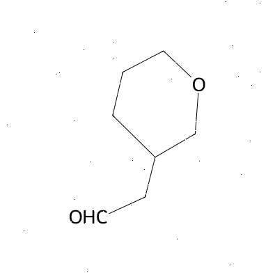 O=CCC1CCCOC1